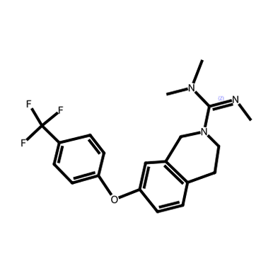 C/N=C(/N(C)C)N1CCc2ccc(Oc3ccc(C(F)(F)F)cc3)cc2C1